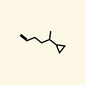 C=CCCC(C)C1[CH]C1